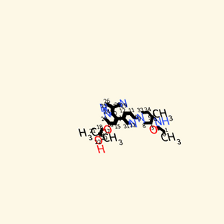 CCC(=O)NC1(C)CCN(c2ccc(-c3cc(OCC(C)(C)O)cn4ncc(C#N)c34)cn2)CC1